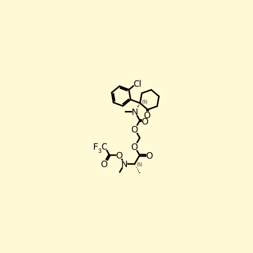 C[C@@H](C(=O)OCOC(=O)N(C)[C@]1(c2ccccc2Cl)CCCCC1=O)N(C)OC(=O)C(F)(F)F